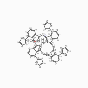 C=Nc1c2cccc(-c3cccs3)c2c2nc3nc(nc4c5cccc(-c6cccs6)c5/c(=N/C5=NCc6c5cccc6-c5cccs5)n-4[nH]n12)-c1c-3cccc1-c1cccs1